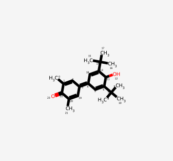 CC1=CC(=C2C=C(C(C)(C)C)C(O)C(C(C)(C)C)=C2)C=C(C)C1=O